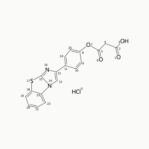 Cl.O=C(O)CC(=O)Oc1ccc(-c2cn3c(n2)sc2ccccc23)cc1